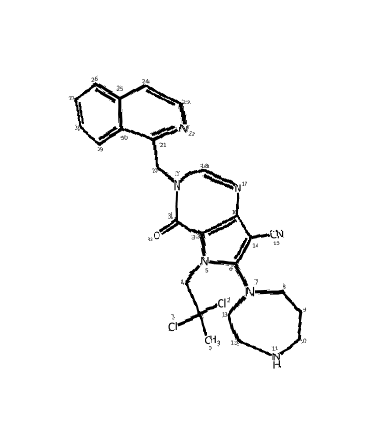 CC(Cl)(Cl)Cn1c(N2CCCNCC2)c(C#N)c2ncn(Cc3nccc4ccccc34)c(=O)c21